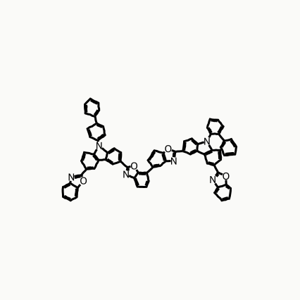 c1ccc(-c2ccc(-n3c4ccc(-c5nc6ccccc6o5)cc4c4cc(-c5nc6cccc(-c7ccc8oc(-c9ccc%10c(c9)c9cc(-c%11nc%12ccccc%12o%11)ccc9n%10-c9ccccc9-c9ccccc9)nc8c7)c6o5)ccc43)cc2)cc1